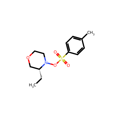 CC[C@@H]1COCCN1OS(=O)(=O)c1ccc(C)cc1